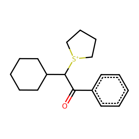 O=C(c1ccccc1)C(C1CCCCC1)[S+]1CCCC1